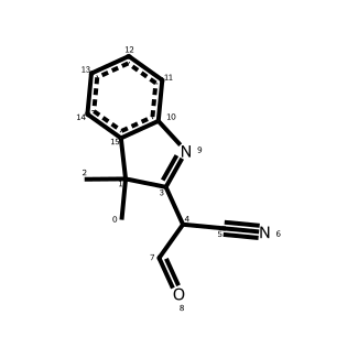 CC1(C)C(C(C#N)C=O)=Nc2ccccc21